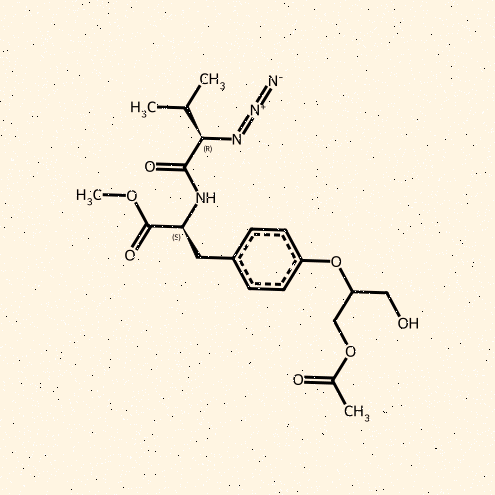 COC(=O)[C@H](Cc1ccc(OC(CO)COC(C)=O)cc1)NC(=O)[C@H](N=[N+]=[N-])C(C)C